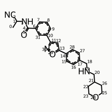 CC(C#N)NC(=O)c1cccc(-c2cc(-c3ccc(CNCC4CCOCC4)cc3)on2)c1